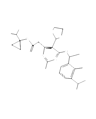 Cc1nc(CC(=O)NC2(C(F)F)CC2)c(C2OCCO2)c(NC(C)c2cccc(C(F)F)c2F)n1